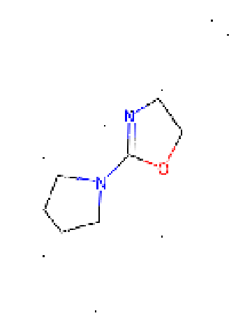 C1CCN(C2=NCCO2)C1